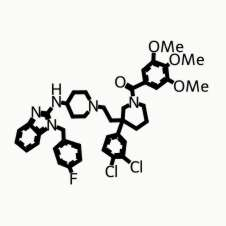 COc1cc(C(=O)N2CCCC(CCN3CCC(Nc4nc5ccccc5n4Cc4ccc(F)cc4)CC3)(c3ccc(Cl)c(Cl)c3)C2)cc(OC)c1OC